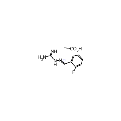 CC(=O)O.N=C(N)N/N=C/c1ccccc1F